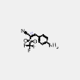 N#C/C(=C/c1ccc(N)cc1)S(=O)(=O)C(F)(F)F